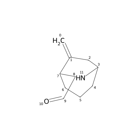 C=C1CC2CCCC1C(C=O)N2